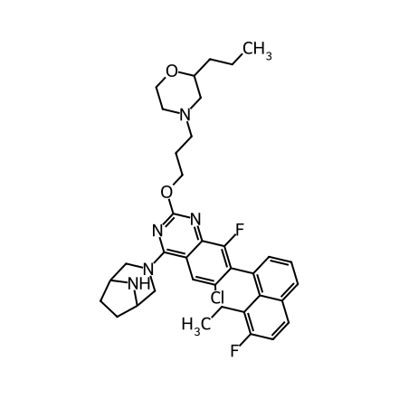 CCCC1CN(CCCOc2nc(N3CC4CCC(C3)N4)c3cc(Cl)c(-c4cccc5ccc(F)c(CC)c45)c(F)c3n2)CCO1